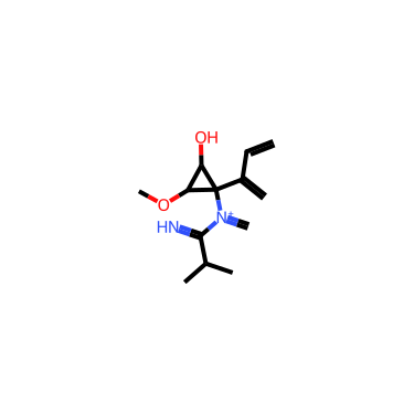 C=CC(=C)C1([N+](=C)C(=N)C(C)C)C(O)C1OC